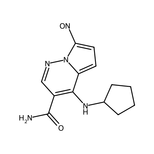 NC(=O)c1cnn2c(N=O)ccc2c1NC1CCCC1